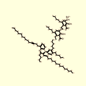 CCCCCCCCCCCC#CCCc1ccccc1N=C(CCCC)C(C=CCCCCCCCCCCCCC)=Nc1ccc(CCCCC)c(CCCCC)c1.CCCCCc1cc(O)c(O)c(C(=O)[O-])c1CC.CCCCCc1cc(O)c(O)c(C(=O)[O-])c1CC.[Pd+2]